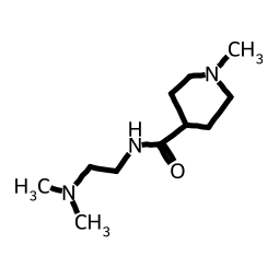 CN(C)CCNC(=O)C1CCN(C)CC1